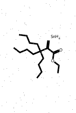 C=C(C(=O)OCC)C(CCCC)(CCCC)CCCC.[SnH4]